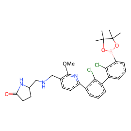 COc1nc(-c2cccc(-c3cccc(B4OC(C)(C)C(C)(C)O4)c3Cl)c2Cl)ccc1CNCC1CCC(=O)N1